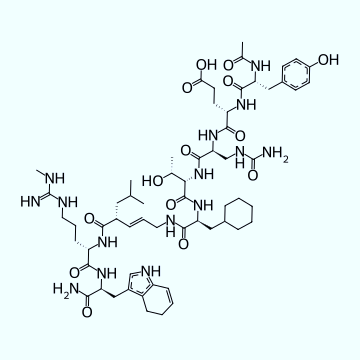 CNC(=N)NCCC[C@H](NC(=O)[C@@H](/C=C/CNC(=O)[C@H](CC1CCCCC1)NC(=O)[C@@H](NC(=O)[C@H](CNC(N)=O)NC(=O)[C@H](CCC(=O)O)NC(=O)[C@@H](Cc1ccc(O)cc1)NC(C)=O)[C@@H](C)O)CC(C)C)C(=O)N[C@@H](Cc1c[nH]c2c1CCC=C2)C(N)=O